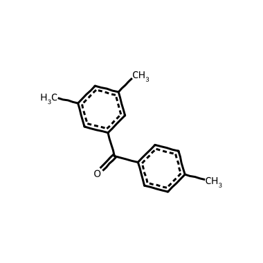 Cc1ccc(C(=O)c2cc(C)cc(C)c2)cc1